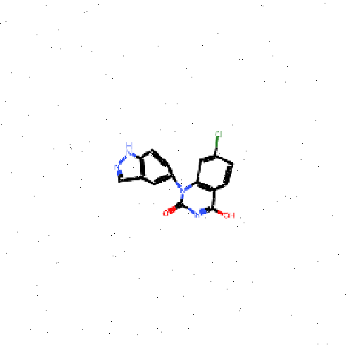 O=c1nc(O)c2ccc(Cl)cc2n1-c1ccc2[nH]ncc2c1